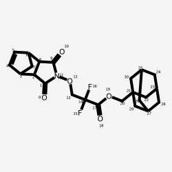 O=C1C2C3C=CC(C3)C2C(=O)N1OCC(F)(F)C(=O)OCC12CC3CC(CC(C3)C1)C2